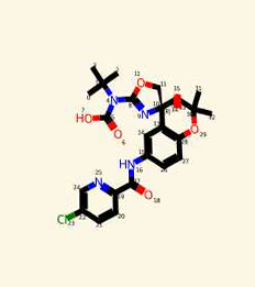 CC(C)(C)N(C(=O)O)C1=N[C@@]2(CO1)c1cc(NC(=O)c3ccc(Cl)cn3)ccc1OC(C)(C)C21COC1